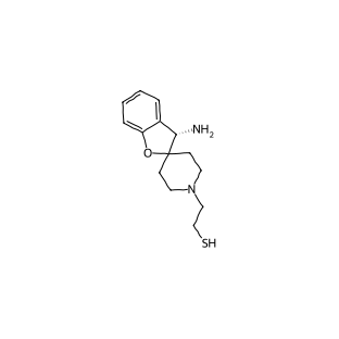 N[C@H]1c2ccccc2OC12CCN(CCS)CC2